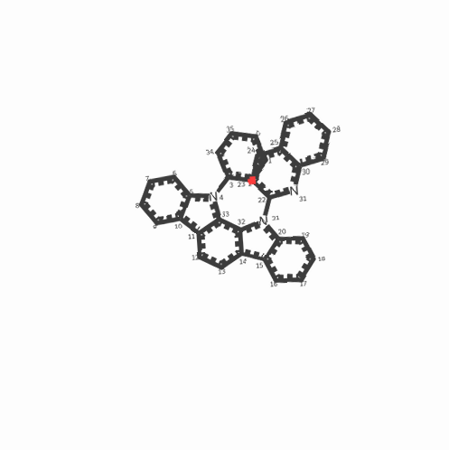 c1ccc(-n2c3ccccc3c3ccc4c5ccccc5n(-c5ccc6ccccc6n5)c4c32)cc1